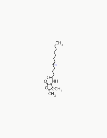 CCCCCC/C=C/CCCC(=O)N[C@H]1C(=O)O[C@@H](C)[C@@H]1C